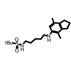 Cc1cc(NCCCCCNS(=O)(=O)C(C)(C)C)c(C)c2c1CCC2